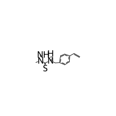 C=Cc1ccc(CNC(=S)N(C)N)cc1